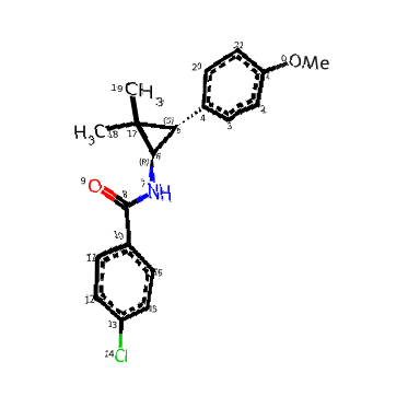 COc1ccc([C@@H]2[C@@H](NC(=O)c3ccc(Cl)cc3)C2(C)C)cc1